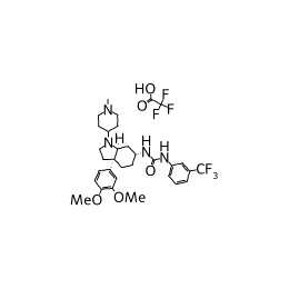 COc1ccc([C@@]23CC[C@@H](NC(=O)Nc4cccc(C(F)(F)F)c4)C[C@@H]2N(C2CCN(C)CC2)CC3)cc1OC.O=C(O)C(F)(F)F